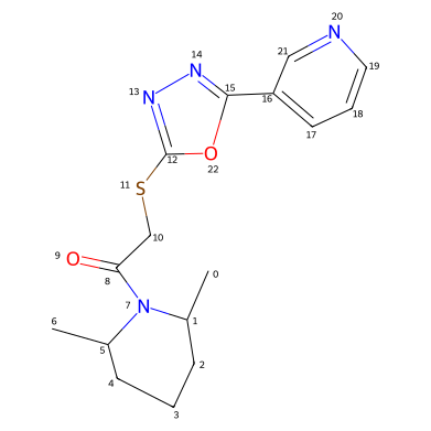 CC1CCCC(C)N1C(=O)CSc1nnc(-c2cccnc2)o1